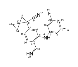 Cc1cc(Nc2cc(C3(C#N)CC34CC4)ccc2C=N)cc(F)n1